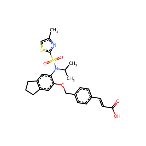 Cc1csc(S(=O)(=O)N(c2cc3c(cc2OCc2ccc(/C=C/C(=O)O)cc2)CCC3)C(C)C)n1